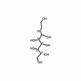 OCCNC(O)[C@H](O)[C@@H](O)[C@H](O)[C@H](O)CO